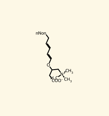 CCCCCCCCCCC=CC=COC(CC(=O)[O-])C[N+](C)(C)C